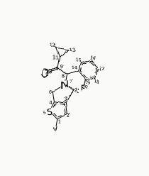 Cc1cc2c(s1)CN(C(C(=O)C1CC1)c1ccccc1F)C2